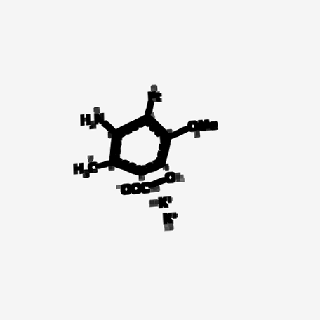 CCc1c(OC)ccc(C)c1N.O=C([O-])[O-].[K+].[K+]